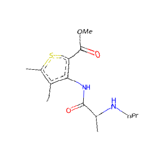 CCCNC(C)C(=O)Nc1c(C(=O)OC)sc(C)c1C